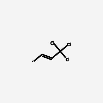 [CH2]/C=C/C(Cl)(Cl)Cl